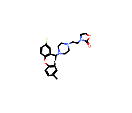 Cc1ccc2c(c1)CC(N1CCN(CCN3CCOC3=O)CC1)c1cc(F)ccc1O2